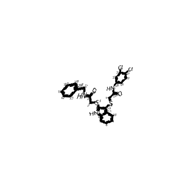 O=C(CSc1[nH]c2ccccc2c1SCC(=O)Nc1ccc(Cl)c(Cl)c1)NCc1ccccc1